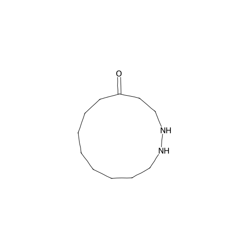 O=C1CCCCCCCCNNCC1